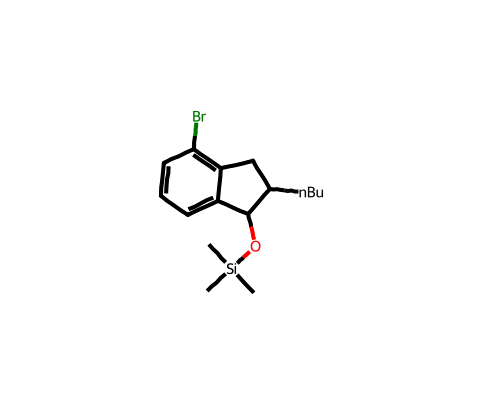 CCCCC1Cc2c(Br)cccc2C1O[Si](C)(C)C